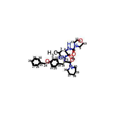 CC(C)C[C@H](NC(=O)N1CCOCC1)C(=O)N[C@@H](Cc1ccc(OCc2ccccc2)cc1)C(=O)N1CCCCC1